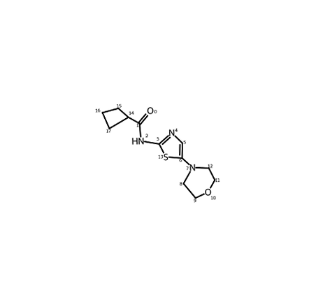 O=C(Nc1ncc(N2CCOCC2)s1)C1CCC1